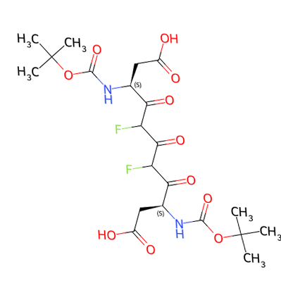 CC(C)(C)OC(=O)N[C@@H](CC(=O)O)C(=O)C(F)C(=O)C(F)C(=O)[C@H](CC(=O)O)NC(=O)OC(C)(C)C